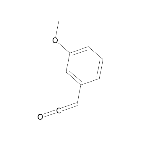 COc1cccc(C=C=O)c1